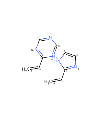 C=Cc1ncc[nH]1.C=Cc1ncncn1